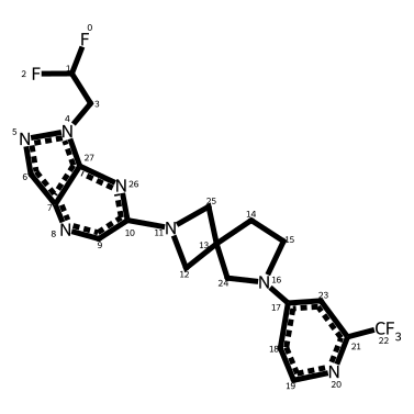 FC(F)Cn1ncc2ncc(N3CC4(CCN(c5ccnc(C(F)(F)F)c5)C4)C3)nc21